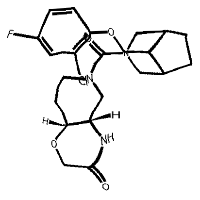 O=C1CO[C@@H]2CCN(C(=O)N3CC4CCC(C3)C4COc3ccc(F)cc3Cl)C[C@@H]2N1